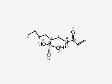 C=CC(=O)NCC(CCCC)P(=O)(O)O